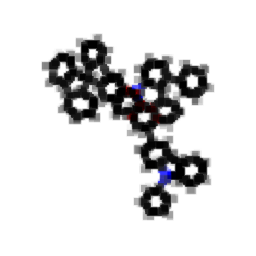 c1ccc(-c2ccccc2-c2c(-c3ccccc3)cccc2N(c2ccc(-c3ccc4c(c3)c3ccccc3n4-c3ccccc3)cc2)c2ccc3c(c2)-c2ccccc2C32c3ccccc3-c3ccccc32)cc1